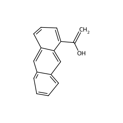 C=C(O)c1cccc2cc3ccccc3cc12